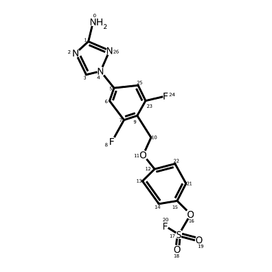 Nc1ncn(-c2cc(F)c(COc3ccc(OS(=O)(=O)F)cc3)c(F)c2)n1